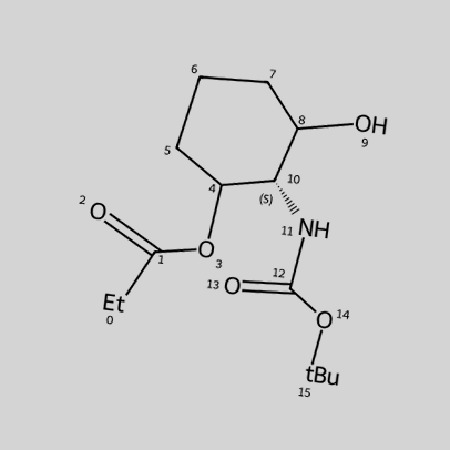 CCC(=O)OC1CCCC(O)[C@@H]1NC(=O)OC(C)(C)C